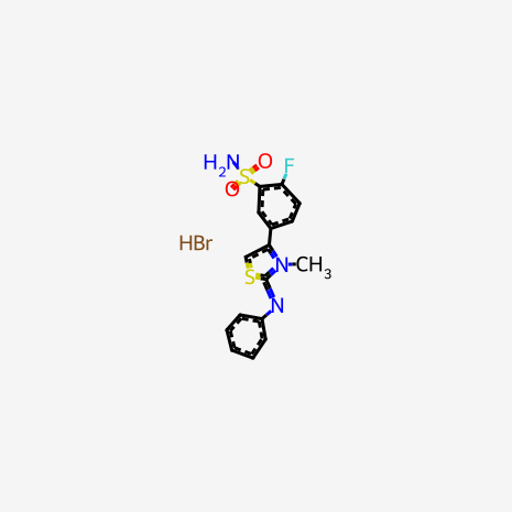 Br.Cn1c(-c2ccc(F)c(S(N)(=O)=O)c2)csc1=Nc1ccccc1